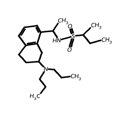 CCCN(CCC)C1CCc2cccc(C(C)NS(=O)(=O)C(C)CC)c2C1